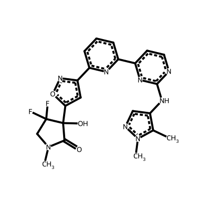 Cc1c(Nc2nccc(-c3cccc(-c4cc(C5(O)C(=O)N(C)CC5(F)F)on4)n3)n2)cnn1C